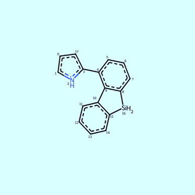 c1c[nH]c(-c2cccc3c2-c2ccccc2[SiH2]3)c1